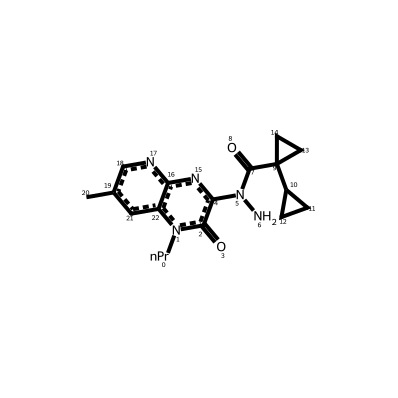 CCCn1c(=O)c(N(N)C(=O)C2(C3CC3)CC2)nc2ncc(C)cc21